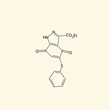 CCOC(=O)c1n[nH]c2c1C(=O)C(Sc1ccccc1)=CC2=O